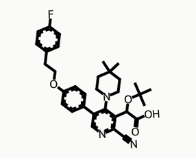 CC1(C)CCN(c2c(-c3ccc(OCCc4ccc(F)cc4)cc3)cnc(C#N)c2C(OC(C)(C)C)C(=O)O)CC1